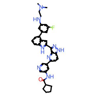 CN(C)CCNc1cc(F)cc(-c2cccc3[nH]c(-c4n[nH]c5ccc(-c6cncc(NC(=O)C7CCCC7)c6)nc45)cc23)c1